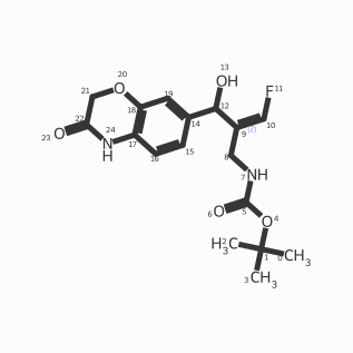 CC(C)(C)OC(=O)NC/C(=C/F)C(O)c1ccc2c(c1)OCC(=O)N2